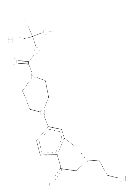 CC(C)(C)OC(=O)N1CCN(c2ccc3c(c2)CN(CCO)CC3=O)CC1